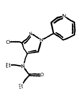 [CH2]CC(=O)N(CC)c1cn(-c2cccnc2)nc1Cl